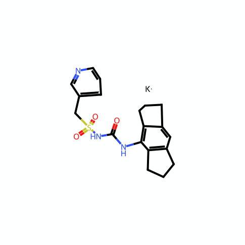 O=C(Nc1c2c(cc3c1CCC3)CCC2)NS(=O)(=O)Cc1cccnc1.[K]